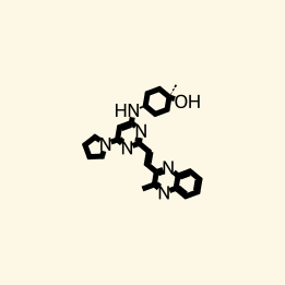 Cc1nc2ccccc2nc1/C=C/c1nc(N[C@H]2CC[C@](C)(O)CC2)cc(N2CCCC2)n1